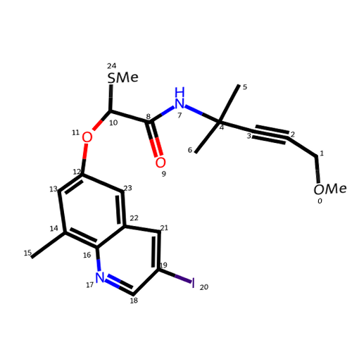 COCC#CC(C)(C)NC(=O)C(Oc1cc(C)c2ncc(I)cc2c1)SC